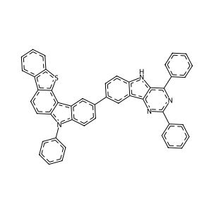 c1ccc(-c2nc(-c3ccccc3)c3[nH]c4ccc(-c5ccc6c(c5)c5c7sc8ccccc8c7ccc5n6-c5ccccc5)cc4c3n2)cc1